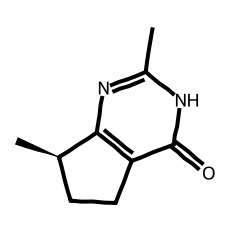 Cc1nc2c(c(=O)[nH]1)CC[C@H]2C